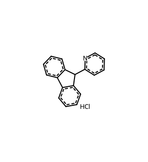 Cl.c1ccc(C2c3ccccc3-c3ccccc32)nc1